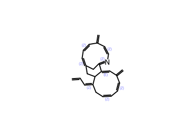 C=C/C=C1/C/C=C\C=C/C(=C)/C=C2/C3=N\C=C/C(=C)/C=C\C=C(/C3)CC12